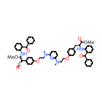 COC(=O)[C@H](Cc1ccc(OCCN(C)c2cccc(N(C)CCOc3ccc(C(=C=O)[C@@H](Nc4ccccc4C(=O)c4ccccc4)OC)cc3)n2)cc1)Nc1ccccc1C(=O)c1ccccc1